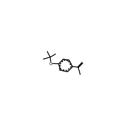 C=C(C)c1ccc(OC(C)(C)C)cc1